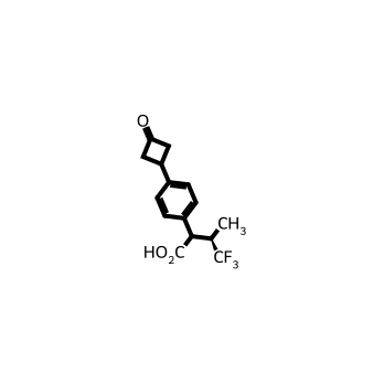 C[C@H](C(C(=O)O)c1ccc(C2CC(=O)C2)cc1)C(F)(F)F